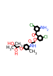 Cc1cc(OCC(O)C(C)(C)O)ccc1NC(=O)COc1ccc(Cl)cc1C(=O)c1cc(N)cc(Cl)c1